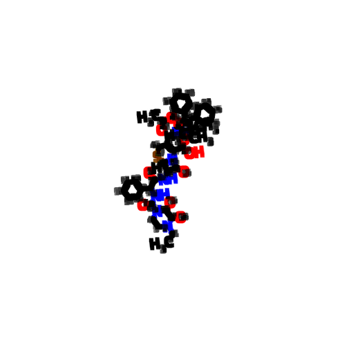 CCN1CCN(C(=O)NC(C(=O)N[C@@H]2C(=O)N3C(C(=O)O)=C(C(NO[Si](c4ccccc4)(c4ccccc4)C(C)(C)C)OC(C)=O)CS[C@H]23)c2ccccc2)C(=O)C1=O